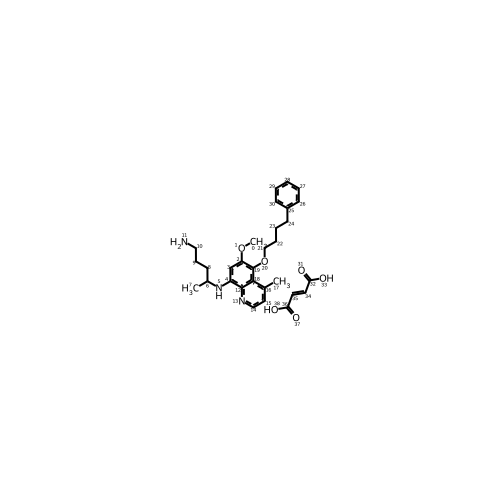 COc1cc(NC(C)CCCN)c2nccc(C)c2c1OCCCCc1ccccc1.O=C(O)/C=C/C(=O)O